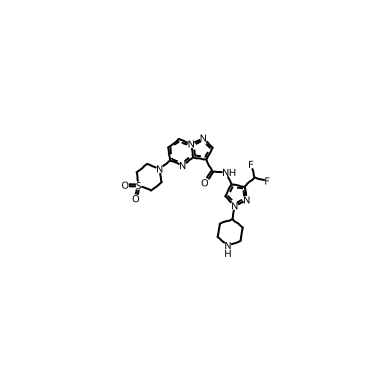 O=C(Nc1cn(C2CCNCC2)nc1C(F)F)c1cnn2ccc(N3CCS(=O)(=O)CC3)nc12